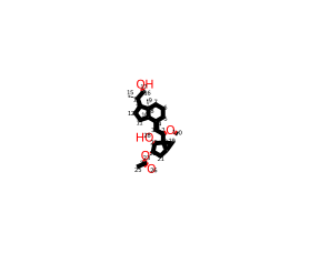 COC(/C=C1\CCC[C@@]2(C)C1CCC2[C@H](C)CO)C12CC1C[C@H](OC(C)=O)C2O